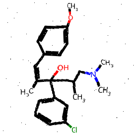 COc1ccc(C=C(C)C(O)(c2cccc(Cl)c2)C(C)CN(C)C)cc1